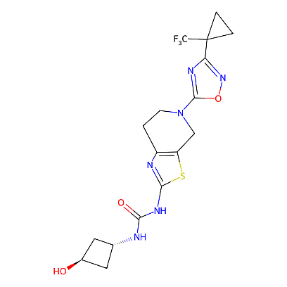 O=C(Nc1nc2c(s1)CN(c1nc(C3(C(F)(F)F)CC3)no1)CC2)N[C@H]1C[C@H](O)C1